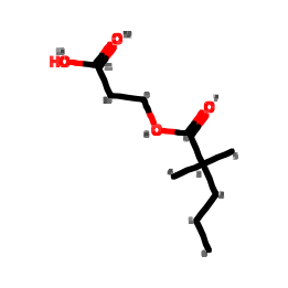 CCCC(C)(C)C(=O)OCCC(=O)O